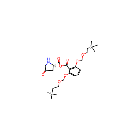 C[Si](C)(C)CCOCOc1cccc(OCOCC[Si](C)(C)C)c1C(=O)OC(=O)[C@@H]1CC(=O)CN1